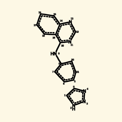 c1c[nH]nn1.c1ccc(Nc2ncnc3ccccc23)cc1